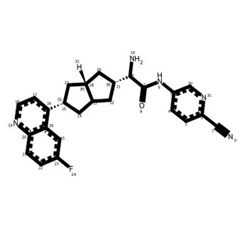 N#Cc1ccc(NC(=O)C(N)[C@@H]2CC3C[C@H](c4ccnc5ccc(F)cc45)C[C@@H]3C2)cn1